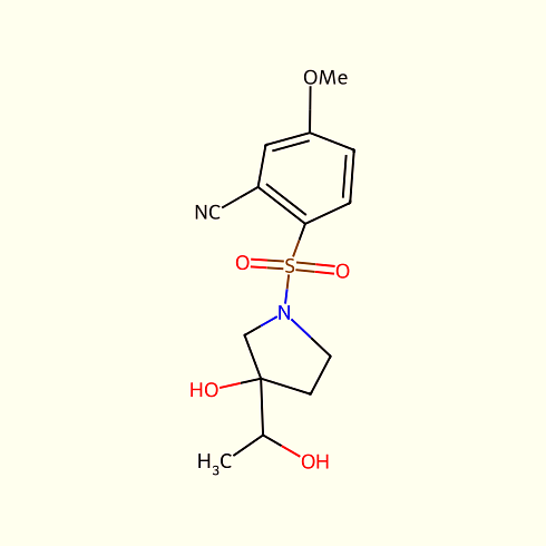 COc1ccc(S(=O)(=O)N2CCC(O)(C(C)O)C2)c(C#N)c1